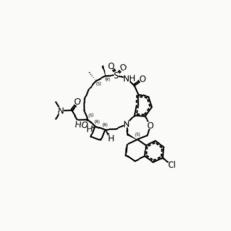 C[C@@H]1[C@@H](C)CCC[C@](O)(CC(=O)N(C)C)[C@@H]2CC[C@H]2CN2C[C@@]3(CCCc4cc(Cl)ccc43)COc3ccc(cc32)C(=O)NS1(=O)=O